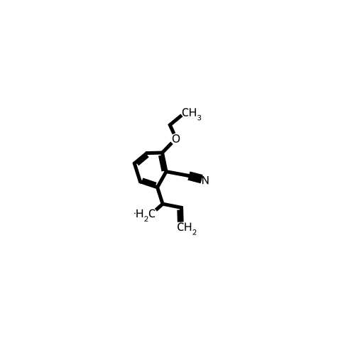 [CH2]C(C=C)c1cccc(OCC)c1C#N